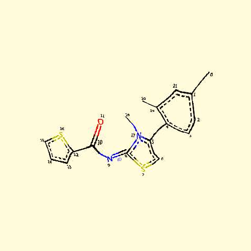 Cc1ccc(-c2cs/c(=N/C(=O)c3cccs3)n2C)c(C)c1